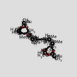 CC[C@H](C)[C@H]1O[C@]2(C=C[C@@H]1C)C[C@@H]1C[C@@H](C/C=C(\C)[C@@H](O[C@H]3C[C@H](OC)[C@@H](O[C@H]4C[C@H](OC)[C@H](NC(=O)OCCCCOC(=O)N[C@@H]5[C@H](C)O[C@@H](O[C@H]6[C@H](C)O[C@@H](OC7/C(C)=C/C[C@@H]8C[C@@H](C[C@]9(C=C[C@H](C)[C@@H]([C@@H](C)CC)O9)O8)OC(=O)[C@@H]8C=C(C)[C@@H](O)[C@H]9OC/C(=C\C=C\[C@@H]7C)[C@]98O)C[C@@H]6OC)C[C@@H]5OC)[C@H](C)O4)[C@H](C)O3)[C@@H](C)/C=C/C=C3\COC4[C@H](O)C(C)=CC(C(=O)O1)C34O)O2